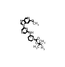 COc1cc2c(cn1)ncn2-c1cncc(N[C@@H]2CCCN(C(=O)OC(C)(C)C)C2)n1